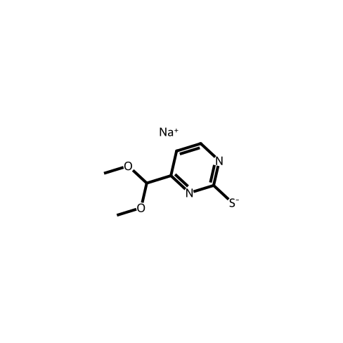 COC(OC)c1ccnc([S-])n1.[Na+]